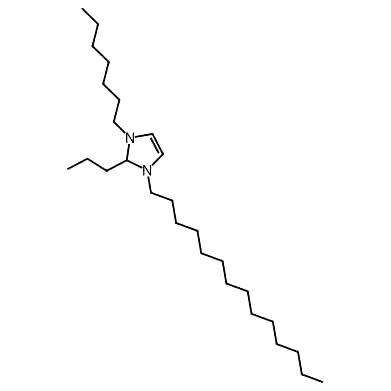 CCCCCCCCCCCCCCN1C=CN(CCCCCCC)C1CCC